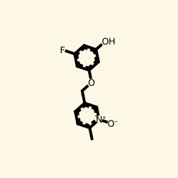 Cc1ccc(COc2cc(O)cc(F)c2)c[n+]1[O-]